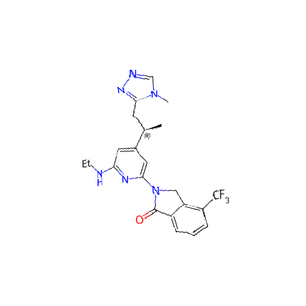 CCNc1cc([C@H](C)Cc2nncn2C)cc(N2Cc3c(cccc3C(F)(F)F)C2=O)n1